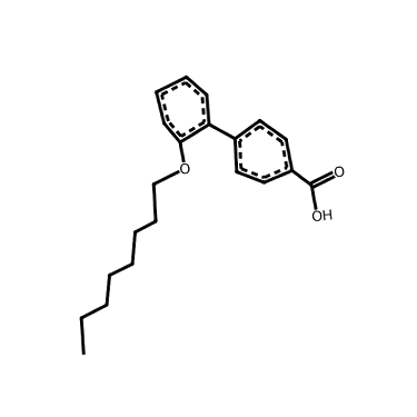 CCCCCCCCOc1ccccc1-c1ccc(C(=O)O)cc1